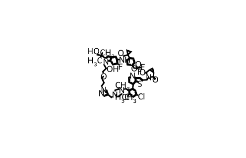 Cc1cc(Cl)cc(-c2ccnc3cc(CN4C(=O)C5CC5C4=O)sc23)c1CN1[C@@H](C)CN(Cc2cnn(CCCOC[C@H](O)Cn3c(C(C)(C)CO)cc4cc(NC(=O)C5(c6ccc7c(c6)OC(F)(F)O7)CC5)c(F)cc43)c2)C[C@@H]1C